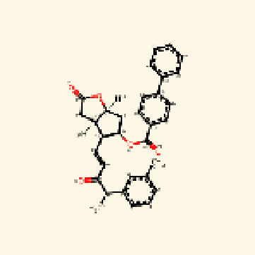 Cc1cccc([C@@H](C)C(=O)/C=C/C2[C@H]3CC(=O)O[C@H]3C[C@H]2OC(=O)c2ccc(-c3ccccc3)cc2)c1